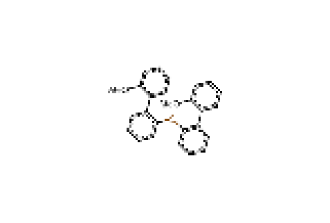 COc1ccccc1-c1ccccc1Sc1ccccc1-c1ccccc1OC